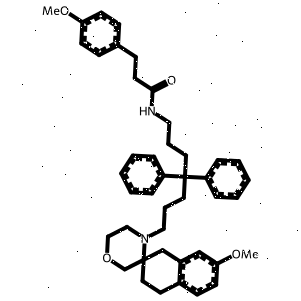 COc1ccc(CCC(=O)NCCCC(CCCN2CCOCC23CCc2ccc(OC)cc2C3)(c2ccccc2)c2ccccc2)cc1